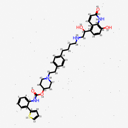 O=C(Nc1ccccc1-c1cccs1)OC1CCN(CCc2ccc(CCCCNCC(O)c3ccc(O)c4[nH]c(=O)ccc34)cc2)CC1